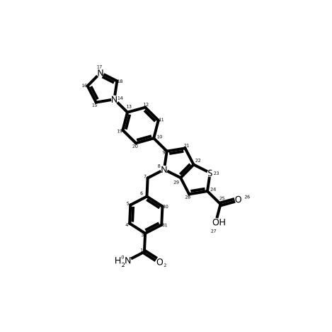 NC(=O)c1ccc(Cn2c(-c3ccc(-n4ccnc4)cc3)cc3sc(C(=O)O)cc32)cc1